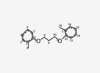 Cc1ccccc1OCCCOc1ccccc1C